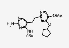 CCCCNc1nc(N)ncc1CCc1cc(OC2CCCC2)c(OC)cn1